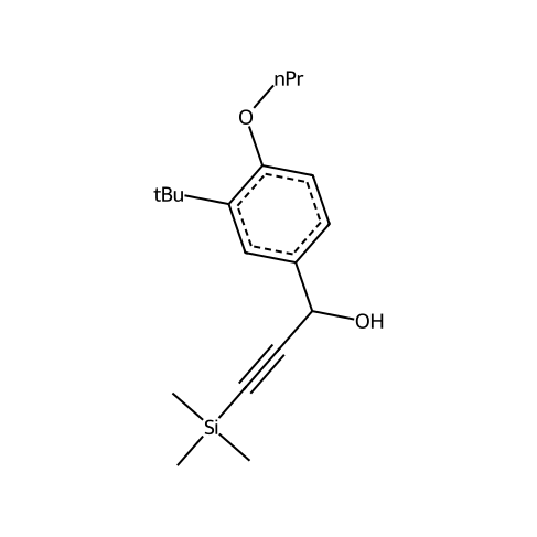 CCCOc1ccc(C(O)C#C[Si](C)(C)C)cc1C(C)(C)C